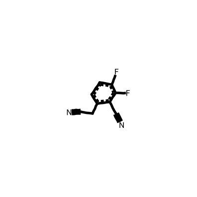 N#CCc1ccc(F)c(F)c1C#N